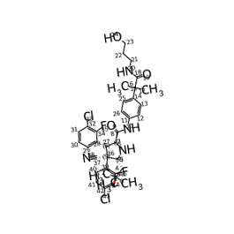 CC(C)(C)C[C@H]1N[C@H](C(=O)Nc2ccc(C(C)(C)C(=O)NCCCO)cc2)[C@@H](c2cccc(Cl)c2F)[C@]1(C#N)c1ccc(Cl)cc1F